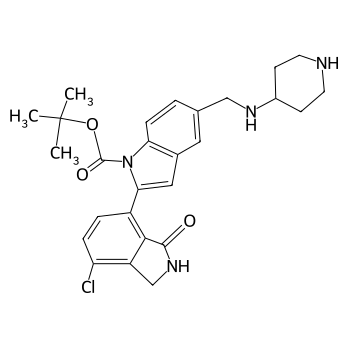 CC(C)(C)OC(=O)n1c(-c2ccc(Cl)c3c2C(=O)NC3)cc2cc(CNC3CCNCC3)ccc21